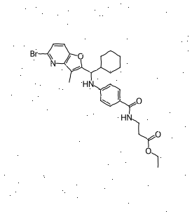 CCOC(=O)CCNC(=O)c1ccc(NC(c2oc3ccc(Br)nc3c2C)C2CCCCC2)cc1